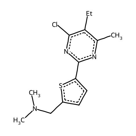 CCc1c(C)nc(-c2ccc(CN(C)C)s2)nc1Cl